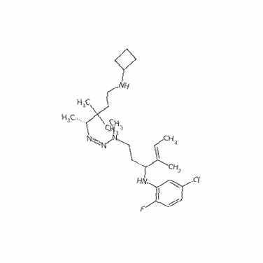 C/C=C(\C)C(CCN(C)/N=N\[C@H](C)C(C)(C)CCNC1CCC1)Nc1cc(Cl)ccc1F